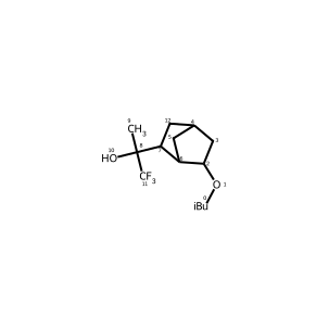 CCC(C)OC1CC2CC1C(C(C)(O)C(F)(F)F)C2